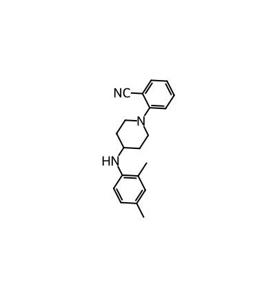 Cc1ccc(NC2CCN(c3ccccc3C#N)CC2)c(C)c1